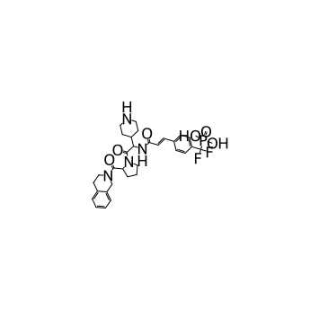 O=C(/C=C/c1ccc(C(F)(F)P(=O)(O)O)cc1)NC(C(=O)N1CCCC1C(=O)N1CCc2ccccc2C1)C1CCNCC1